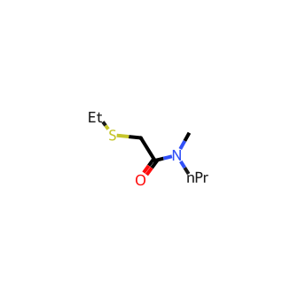 CCCN(C)C(=O)CSCC